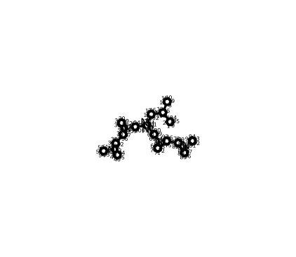 c1ccc(-c2cc(-c3ccccc3)cc(-c3cccc(-c4nc(-c5ccc(-n6c7ccccc7c7cc(-c8ccc9c(c8)c8ccccc8n9-c8ccccc8)ccc76)cc5)nc(-c5ccc(-n6c7ccccc7c7cc(-c8ccc9c(c8)c8ccccc8n9-c8ccccc8)ccc76)cc5)n4)c3)c2)cc1